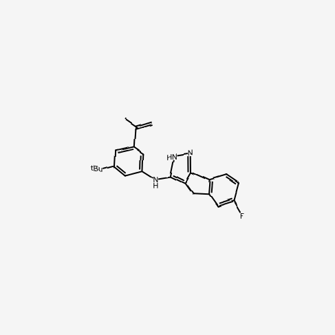 C=C(C)c1cc(Nc2[nH]nc3c2Cc2cc(F)ccc2-3)cc(C(C)(C)C)c1